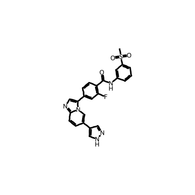 CS(=O)(=O)c1cccc(NC(=O)c2ccc(-c3cnc4ccc(-c5cn[nH]c5)cn34)cc2F)c1